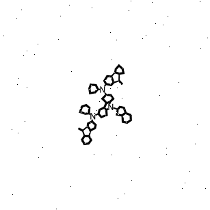 C=C1c2ccccc2-c2ccc(N(c3ccccc3)c3ccc4c(c3)c3cc(N(c5ccccc5)c5ccc6c(c5)C(=C)c5ccccc5-6)ccc3n4-c3ccc4ccccc4c3)cc21